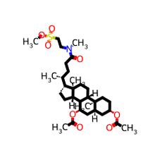 COS(=O)(=O)CCN(C)C(=O)CC[C@@H](C)[C@H]1CC[C@H]2C3[C@H](OC(C)=O)C[C@@H]4C[C@H](OC(C)=O)CC[C@]4(C)[C@H]3CC[C@]12C